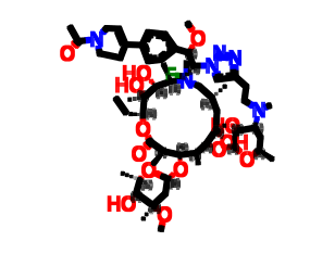 CC[C@H]1OC(=O)[C@H](C)[C@@H](O[C@H]2C[C@@](C)(OC)[C@@H](O)[C@H](C)O2)[C@H](C)[C@@H](O[C@@H]2O[C@H](C)C[C@H](N(C)CCc3cn([C@H](CF)[C@H](OC)c4ccc(C5=CCN(C(C)=O)CC5)cc4)nn3)[C@H]2O)[C@](C)(O)C[C@@H](C)CN(C)[C@H](C)[C@@H](O)[C@]1(C)O